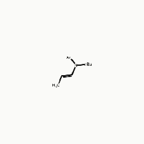 CC=CN(CCCC)C(C)=O